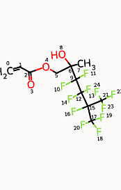 C=CC(=O)OCC(C)(O)C(F)(F)C(F)(F)C(F)(C(F)(F)F)C(F)(F)F